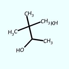 CC(O)C(C)(C)C.[KH]